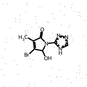 CC1=C(Br)C(O)N(c2nnc[nH]2)C1=O